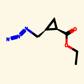 CCOC(=O)[C@@H]1C[C@H]1CN=[N+]=[N-]